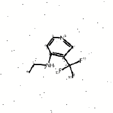 CCNc1ccn[c]c1C(F)(F)F